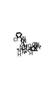 CNC(=O)C12CC1[C@H]1C(n3cnc4c(NC)nc(-n5cc(-c6ccccc6Cl)nn5)nc43)[C@@]1(O)[C@@H]2O